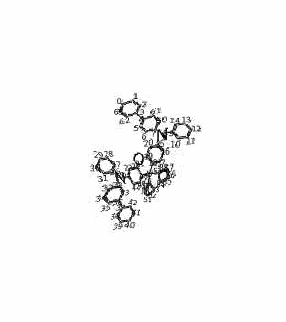 c1ccc(-c2ccc(N(c3ccccc3)c3ccc4c(c3)Oc3cc(N(c5ccccc5)c5cccc(-c6ccccc6)c5)ccc3C43c4ccccc4-c4ccccc43)cc2)cc1